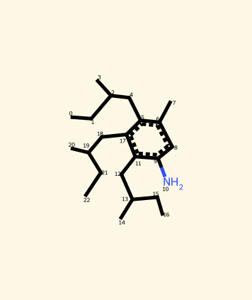 CCC(C)Cc1c(C)cc(N)c(CC(C)CC)c1CC(C)CC